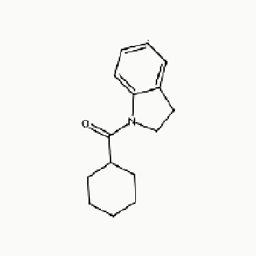 O=C(C1CCCCC1)N1CCc2c[c]ccc21